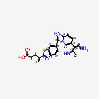 C=C(CCC(=O)O)c1nc2ccc(C3=CNC4C=CC(/C(=C/N)C(C)=N)=CN34)cc2s1